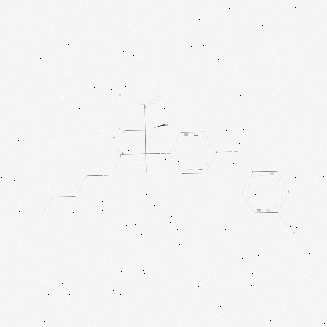 CCCCOC(=O)C(I)(c1ccc(Oc2ccc(O)cc2)cc1)[C@@](I)(C(=O)O)N(I)I